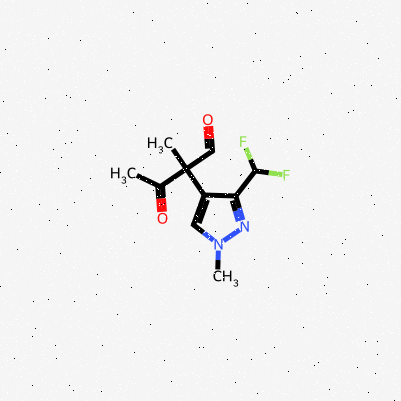 CC(=O)C(C)(C=O)c1cn(C)nc1C(F)F